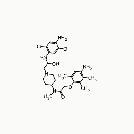 Cc1cc(N)c(C)c(C)c1OCC(=O)N(C)C1CCN(CC(O)Nc2cc(Cl)c(N)cc2Cl)CC1